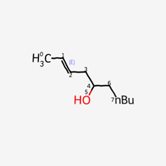 C/C=C/CC(O)CCCCC